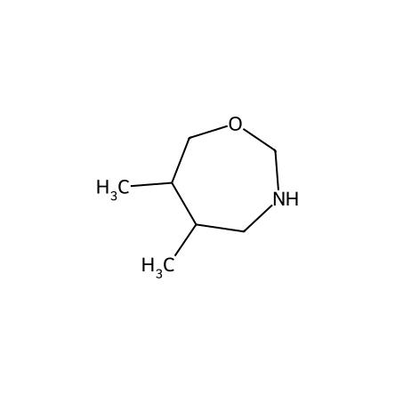 CC1CNCOCC1C